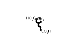 NC(CC(C[18F])CCCC(=O)O)C(=O)O